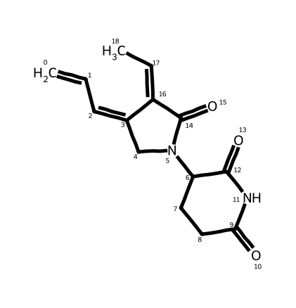 C=C/C=C1/CN(C2CCC(=O)NC2=O)C(=O)/C1=C/C